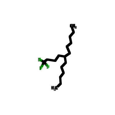 CCCCCCC(CCCCCC)CCCC(F)(F)F